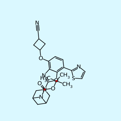 CC(C)(C)OC(=O)N1C2CC1CN(c1nc3c(OC4CC(C#N)C4)ccc(-c4nccs4)c3o1)C2